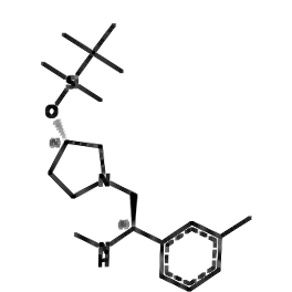 CN[C@@H](CN1CC[C@H](O[Si](C)(C)C(C)(C)C)C1)c1cccc(C)c1